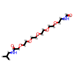 CC(C)CNC(=O)COCCOCCOCCOCCOCCNC=O